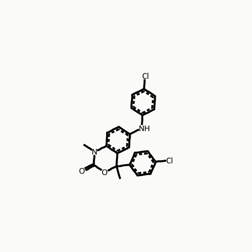 CN1C(=O)OC(C)(c2ccc(Cl)cc2)c2cc(Nc3ccc(Cl)cc3)ccc21